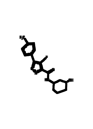 O=C(NC1CCC[C@H](O)C1)c1noc(-c2ccc(C(F)(F)F)cc2)c1F